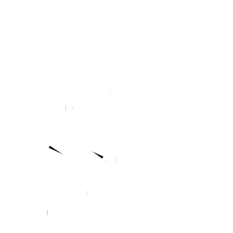 OC[C@@H](O)[C@@H](O)[C@H](O)[C@H](O)C(OOC1CCCCC1)OC1CCCCC1